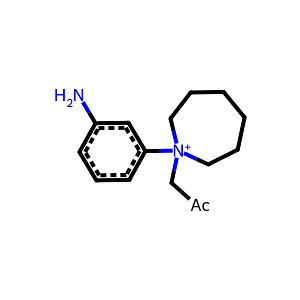 CC(=O)C[N+]1(c2cccc(N)c2)CCCCCC1